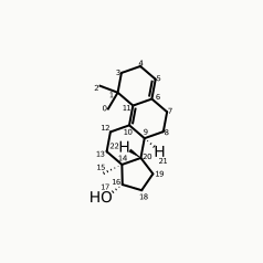 CC1(C)CCC=C2CC[C@@H]3C(=C21)CC[C@]1(C)[C@@H](O)CC[C@@H]31